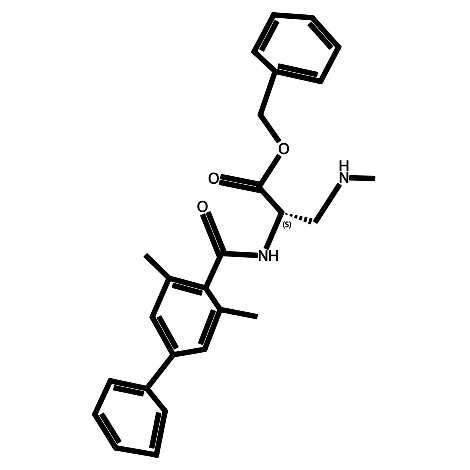 CNC[C@H](NC(=O)c1c(C)cc(-c2ccccc2)cc1C)C(=O)OCc1ccccc1